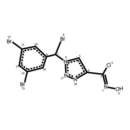 ON=C(Cl)c1cn(C(Br)c2cc(Br)cc(Br)c2)nn1